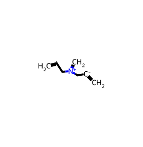 C=[C]C[N+](=C)C[C-]=C